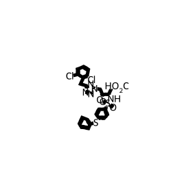 O=C(O)CC(NS(=O)(=O)c1ccc(Sc2ccccc2)cc1)C(=O)Cn1nnc(Cc2c(Cl)cccc2Cl)n1